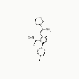 CNC(=O)c1c(-c2ccc(F)cc2)noc1C=C(N)c1ccccc1